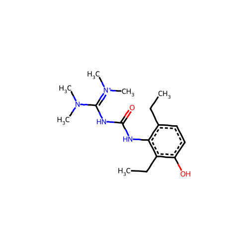 CCc1ccc(O)c(CC)c1NC(=O)NC(N(C)C)=[N+](C)C